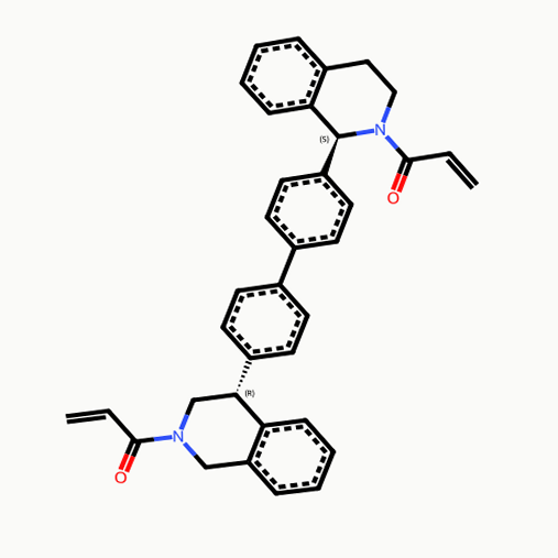 C=CC(=O)N1Cc2ccccc2[C@@H](c2ccc(-c3ccc([C@H]4c5ccccc5CCN4C(=O)C=C)cc3)cc2)C1